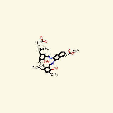 CC(=O)[O-].CC(=O)[O-].Cc1cc(CC(C)C)cc(C=Nc2cc3ccccc3cc2N=Cc2cc(CC(C)C)cc(C)c2O)c1O.[Co+2]